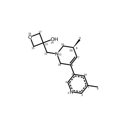 Cc1cncc(C2=C[C@H](C)CN(CC3(O)COC3)C2)c1